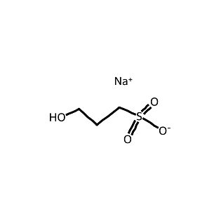 O=S(=O)([O-])CCCO.[Na+]